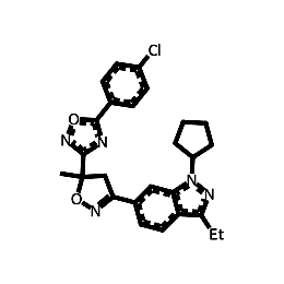 CCc1nn(C2CCCC2)c2cc(C3=NOC(C)(c4noc(-c5ccc(Cl)cc5)n4)C3)ccc12